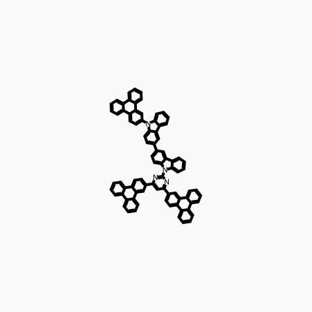 c1ccc2c(c1)c1ccccc1c1cc(-c3cc(-c4ccc5c6ccccc6c6ccccc6c5c4)nc(-n4c5ccccc5c5cc(-c6ccc7c(c6)c6ccccc6n7-c6ccc7c8ccccc8c8ccccc8c7c6)ccc54)n3)ccc21